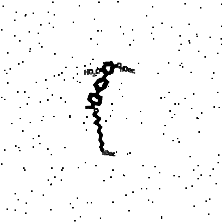 CCCCCCCCCCCCCCCCCCCOC(C)c1ccc(-c2ccc(-c3cc(OCCCCCCCCCC)ccc3C(=O)O)cc2)cc1